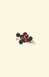 CC1(C)c2ccccc2-c2c(-c3ccccc3N(c3ccc(-c4ccccc4)cc3-c3ccccc3)c3cccc4c3C(C)(C)c3ccccc3-4)cccc21